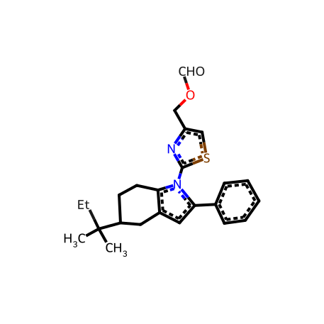 CCC(C)(C)C1CCc2c(cc(-c3ccccc3)n2-c2nc(COC=O)cs2)C1